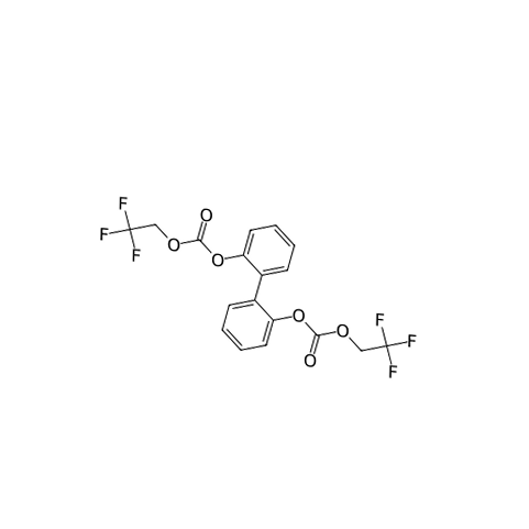 O=C(OCC(F)(F)F)Oc1ccccc1-c1ccccc1OC(=O)OCC(F)(F)F